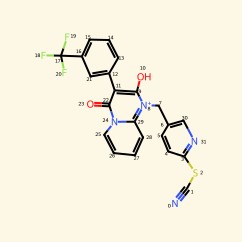 N#CSc1ccc(C[n+]2c(O)c(-c3cccc(C(F)(F)F)c3)c(=O)n3ccccc32)cn1